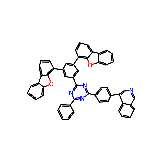 c1ccc(-c2nc(-c3ccc(-c4cncc5ccccc45)cc3)nc(-c3cc(-c4cccc5c4oc4ccccc45)cc(-c4cccc5c4oc4ccccc45)c3)n2)cc1